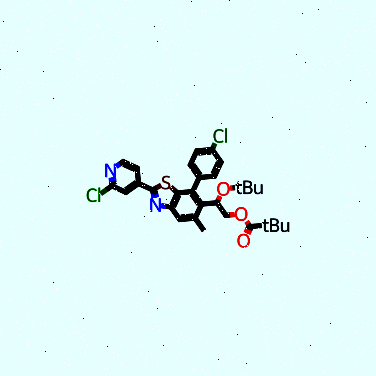 Cc1cc2nc(-c3ccnc(Cl)c3)sc2c(-c2ccc(Cl)cc2)c1C(COC(=O)C(C)(C)C)OC(C)(C)C